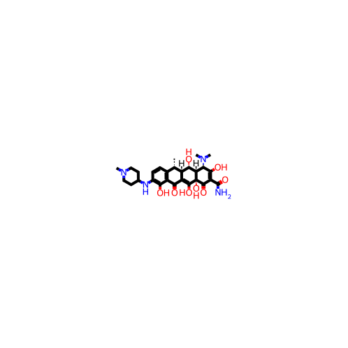 C[C@H]1c2ccc(NC3CCN(C)CC3)c(O)c2C(=O)C2=C(O)[C@]3(O)C(=O)C(C(N)=O)=C(O)[C@@H](N(C)C)[C@@H]3[C@@H](O)[C@@H]21